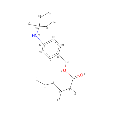 CCCC(C)C(C)C(=O)OCc1ccc(NC(C)(CC)CC)cc1